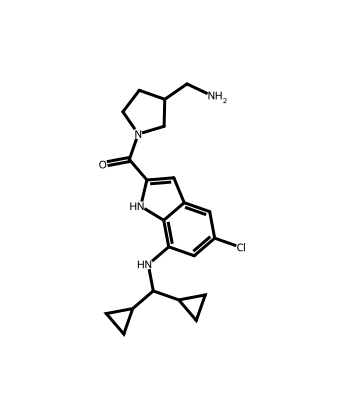 NCC1CCN(C(=O)c2cc3cc(Cl)cc(NC(C4CC4)C4CC4)c3[nH]2)C1